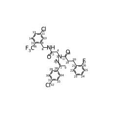 C/C(=N\N(CC(=O)NCc1cc(Cl)ccc1C(F)(F)F)C(=O)CCc1ccccc1F)c1ccc(Cl)cc1